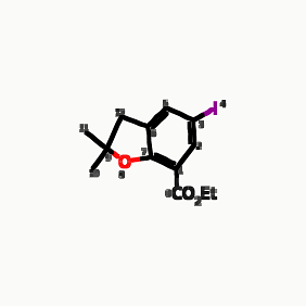 CCOC(=O)c1cc(I)cc2c1OC(C)(C)C2